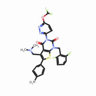 CN(C)Cc1c(-c2ccc([N+](=O)[O-])cc2)sc2c1c(=O)n(-c1ccc(OC(F)F)nn1)c(=O)n2Cc1c(F)cccc1F